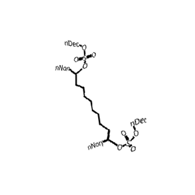 CCCCCCCCCCOS(=O)(=O)OC(CCCCCCCCC)CCCCCCCCC(CCCCCCCCC)OS(=O)(=O)OCCCCCCCCCC